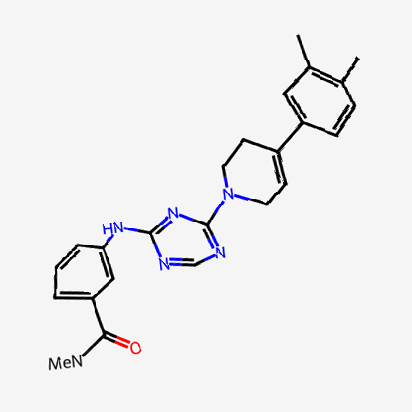 CNC(=O)c1cccc(Nc2ncnc(N3CC=C(c4ccc(C)c(C)c4)CC3)n2)c1